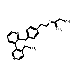 C=C(CC)OCCc1ccc(Cc2ncccc2-c2cnccc2CC)cc1